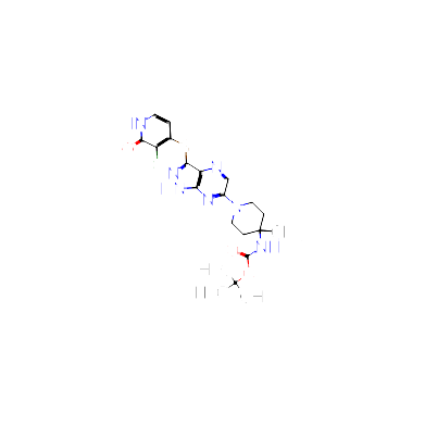 CC1(NC(=O)OC(C)(C)C)CCN(c2cnc3c(Sc4cc[nH]c(=O)c4Cl)n[nH]c3n2)CC1